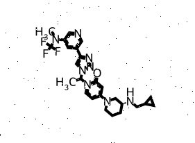 CC(n1cc(-c2cncc(N(C)C(F)(F)F)c2)nn1)n1ccc(N2CCC[C@@H](NCC3CC3)C2)cc1=O